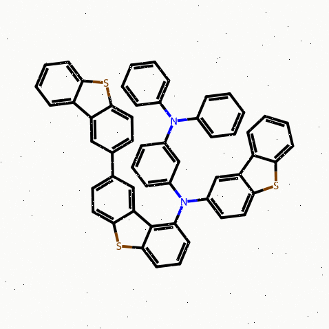 c1ccc(N(c2ccccc2)c2cccc(N(c3ccc4sc5ccccc5c4c3)c3cccc4sc5ccc(-c6ccc7sc8ccccc8c7c6)cc5c34)c2)cc1